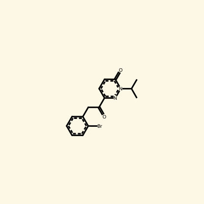 CC(C)n1nc(C(=O)Cc2ccccc2Br)ccc1=O